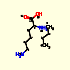 CCCC.NCCCCC(N)C(=O)O